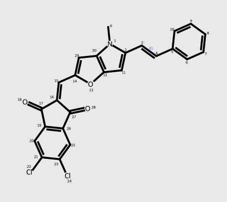 Cn1c(/C=C/c2ccccc2)cc2oc(C=C3C(=O)c4cc(Cl)c(Cl)cc4C3=O)cc21